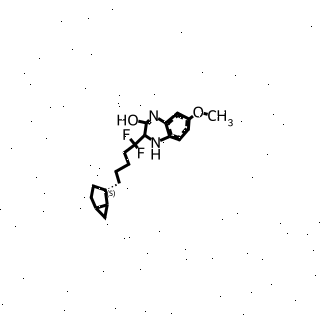 COc1ccc2c(c1)N=C(O)C(C(F)(F)CCCC[C@H]1CCC3CC31)N2